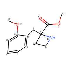 COC(=O)C1(Cc2ccccc2OC)CCN1